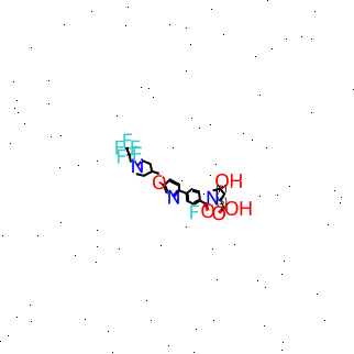 O=C(O)[C@@H]1C[C@@H](O)CN1C(=O)c1ccc(-c2ccc(OCC3CCN(CC(F)(F)C(F)(F)F)CC3)cn2)cc1F